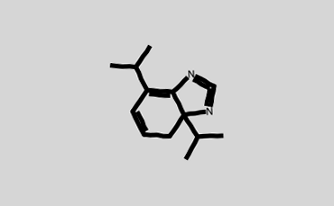 CC(C)C1=C2N=C=NC2(C(C)C)CC=C1